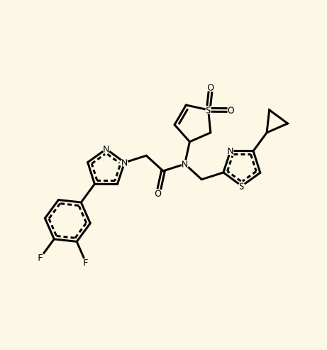 O=C(Cn1cc(-c2ccc(F)c(F)c2)cn1)N(Cc1nc(C2CC2)cs1)C1C=CS(=O)(=O)C1